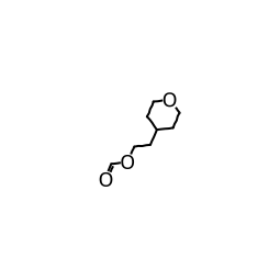 O=COCCC1CCOCC1